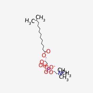 CC(C)CCCCCCCCCCC(=O)OC[C@H](COP(=O)([O-])OCC[N+](C)(C)C)OO